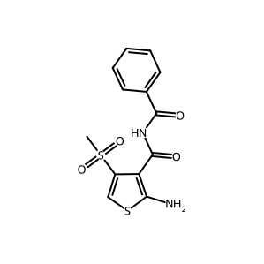 CS(=O)(=O)c1csc(N)c1C(=O)NC(=O)c1ccccc1